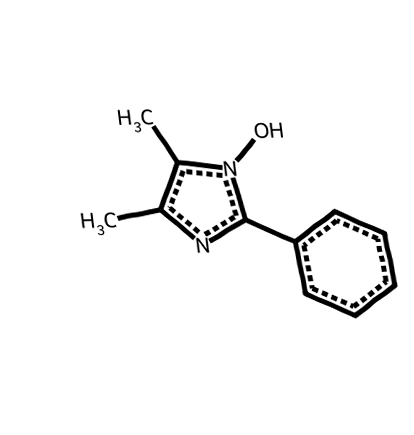 Cc1nc(-c2ccccc2)n(O)c1C